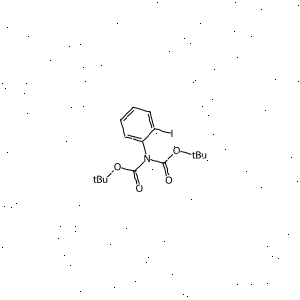 CC(C)(C)OC(=O)N(C(=O)OC(C)(C)C)c1ccccc1I